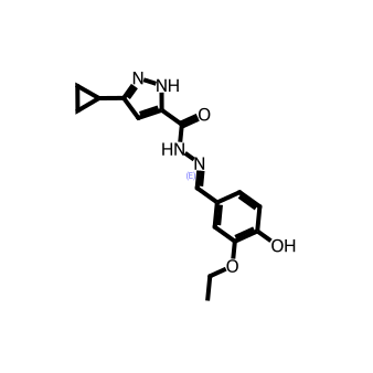 CCOc1cc(/C=N/NC(=O)c2cc(C3CC3)n[nH]2)ccc1O